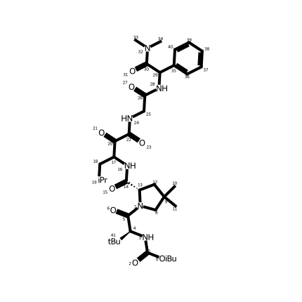 CC(C)COC(=O)N[C@H](C(=O)N1CC(C)(C)C[C@H]1C(=O)NC(CC(C)C)C(=O)C(=O)NCC(=O)NC(C(=O)N(C)C)c1ccccc1)C(C)(C)C